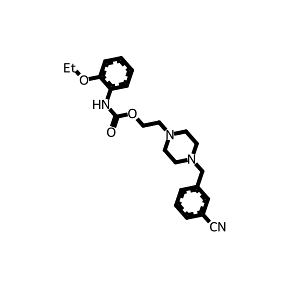 CCOc1ccccc1NC(=O)OCCN1CCN(Cc2cccc(C#N)c2)CC1